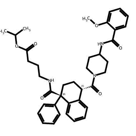 COc1ccccc1C(=O)NC1CCN(C(=O)[C@H]2CC[C@@](C(=O)NCCCC(=O)OC(C)C)(c3ccccc3)c3ccccc32)CC1